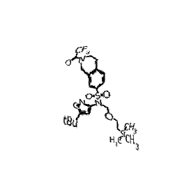 CC(C)(C)c1cc(N(COCC[Si](C)(C)C)S(=O)(=O)c2ccc3c(c2)CN(C(=O)C(F)(F)F)CC3)no1